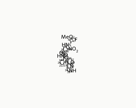 COC1(CF)CC(CNc2ccc(S(=O)(=O)NC(=O)c3ccccc3N3CCCOc4nc5[nH]ccc5cc43)cc2[N+](=O)[O-])C1